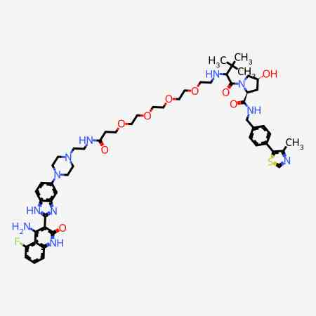 Cc1ncsc1-c1ccc(CNC(=O)[C@@H]2C[C@@H](O)CN2C(=O)C(NCCOCCOCCOCCOCCC(=O)NCCN2CCN(c3ccc4[nH]c(-c5c(N)c6c(F)cccc6[nH]c5=O)nc4c3)CC2)C(C)(C)C)cc1